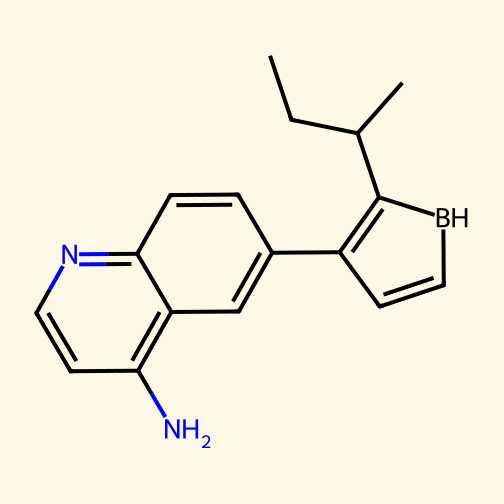 CCC(C)C1=C(c2ccc3nccc(N)c3c2)C=CB1